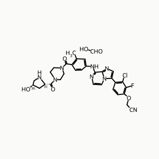 Cc1cc(Nc2nccn3c(-c4ccc(OCC#N)c(F)c4Cl)cnc23)ccc1C(=O)N1CCN(C(=O)[C@@H]2C[C@@H](O)CN2)CC1.O=CO